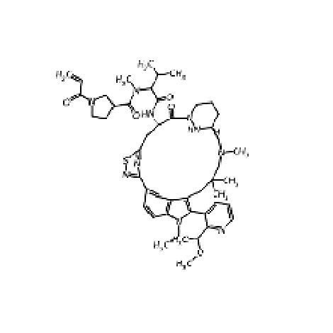 C=CC(=O)N1CC[C@H](C(=O)N(C)C(C(=O)N[C@H]2Cc3nc(ns3)-c3ccc4c(c3)c(c(-c3cccnc3[C@H](C)OC)n4CC)CC(C)(C)CN(C)C[C@@H]3CCCN(N3)C2=O)C(C)C)C1